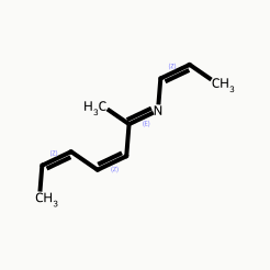 C\C=C/C=C\C(C)=N\C=C/C